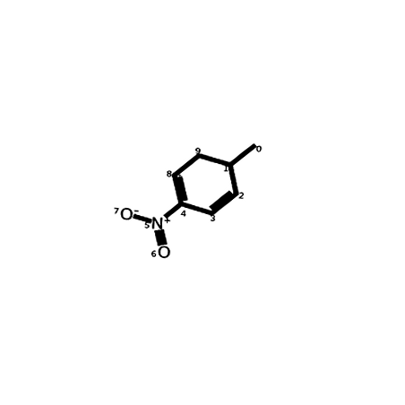 CC1C=CC([N+](=O)[O-])=[C]C1